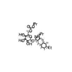 CCc1ccc(Cc2c(OC3O[C@H](COC(=O)OC(C)C)[C@@H](O)[C@H](O)[C@H]3O)nn(C(C)C)c2C)cc1